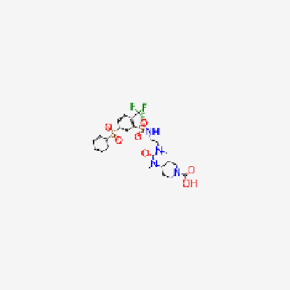 CN(CCNS(=O)(=O)c1cc(S(=O)(=O)c2ccccc2)ccc1C(F)(F)F)C(=O)N(C)C1CCN(C(=O)O)CC1